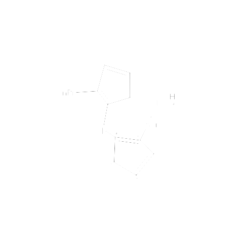 CCCC1=[C]([Hf][C]2=C(CCC)C=CC2)CC=C1.[H-].[H-]